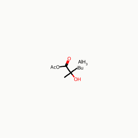 CCC(C)C(C)(O)C(=O)OC(C)=O.[AlH3]